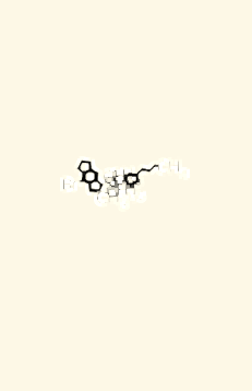 CCCCC1=CC([Si](C)(C)[Si](C)(C)C2C(C)=Cc3c2cc2c(c3Br)CCC2)C=C1